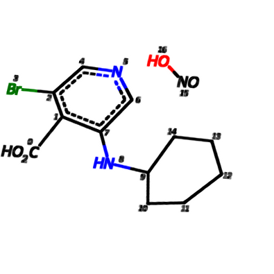 O=C(O)c1c(Br)cncc1NC1CCCCC1.O=NO